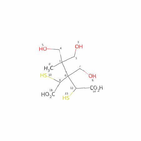 CC(CO)(CO)C(CO)(C(S)C(=O)O)C(S)C(=O)O